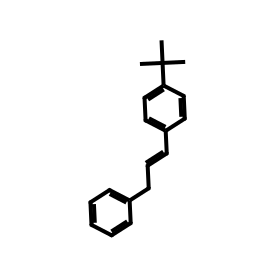 CC(C)(C)c1ccc(C=CCc2ccccc2)cc1